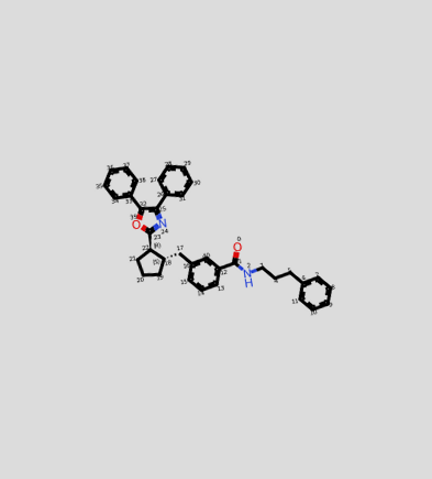 O=C(NCCCc1ccccc1)c1cccc(C[C@@H]2CCC[C@H]2c2nc(-c3ccccc3)c(-c3ccccc3)o2)c1